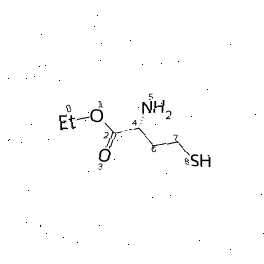 CCOC(=O)[C@H](N)CCS